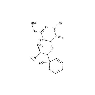 CC(C)OC(=O)[C@H](C[C@@H]([C@H](C)N)C1(C)C=CC=CC1)NC(=O)OC(C)(C)C